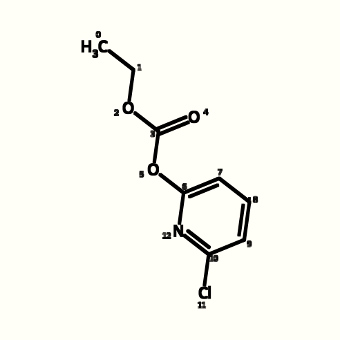 CCOC(=O)Oc1c[c]cc(Cl)n1